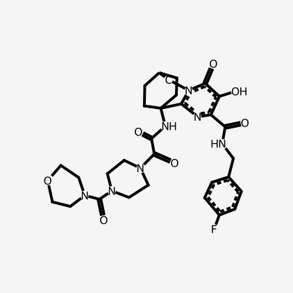 O=C(NC12CCC(CC1)Cn1c2nc(C(=O)NCc2ccc(F)cc2)c(O)c1=O)C(=O)N1CCN(C(=O)N2CCOCC2)CC1